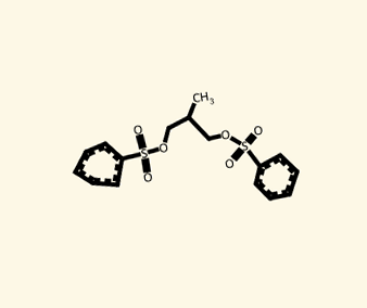 CC(COS(=O)(=O)c1ccccc1)COS(=O)(=O)c1ccccc1